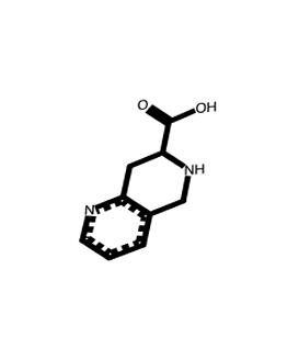 O=C(O)C1Cc2ncccc2CN1